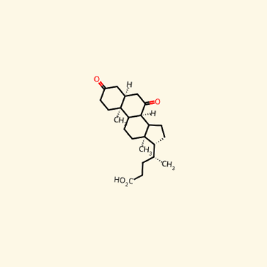 C[C@H](CCC(=O)O)[C@H]1CCC2[C@@H]3C(=O)C[C@@H]4CC(=O)CC[C@]4(C)C3CC[C@@]21C